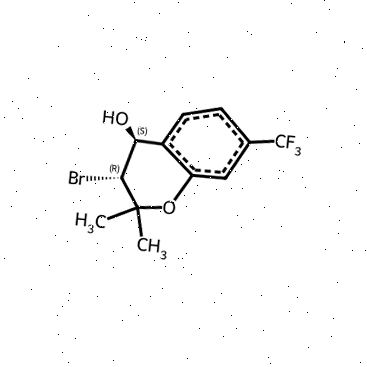 CC1(C)Oc2cc(C(F)(F)F)ccc2[C@H](O)[C@H]1Br